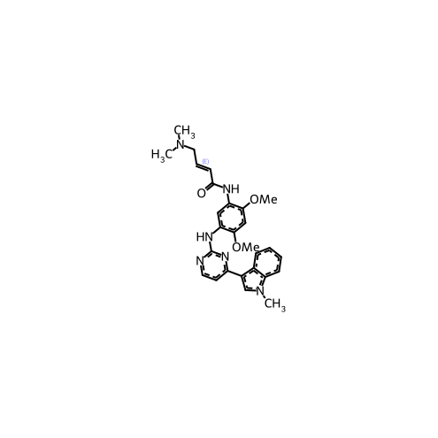 COc1cc(OC)c(Nc2nccc(-c3cn(C)c4ccccc34)n2)cc1NC(=O)/C=C/CN(C)C